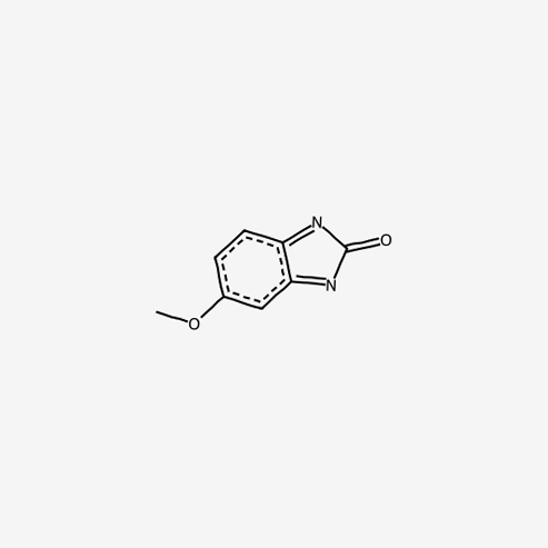 COc1ccc2c(c1)=NC(=O)N=2